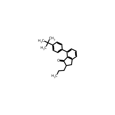 CCCC1Cc2cccc(-c3ccc(C(C)(C)C)cc3)c2C1=O